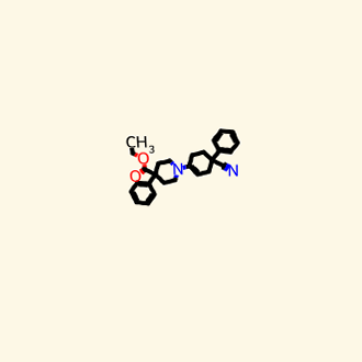 CCOC(=O)C1(c2ccccc2)CCN(C2=CCC(C#N)(c3ccccc3)CC2)CC1